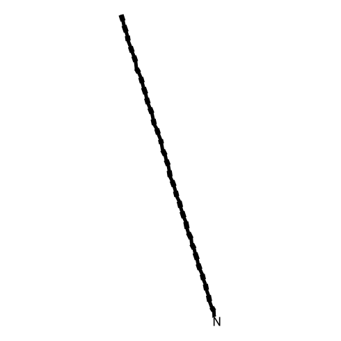 C#CC#CC#CC#CC#CC#CC#CC#CC#CC#CC#CC#CC#CC#CC#CC#CC#CC#CC#CC#CC#CC#CC#CC#CC#CC#CC#CC#CC#CC#N